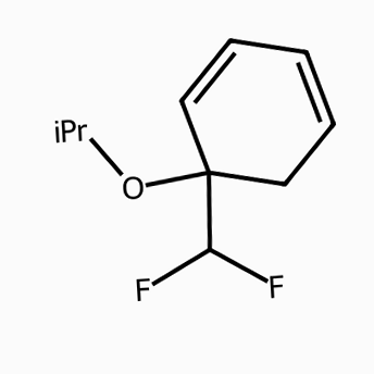 CC(C)OC1(C(F)F)C=CC=CC1